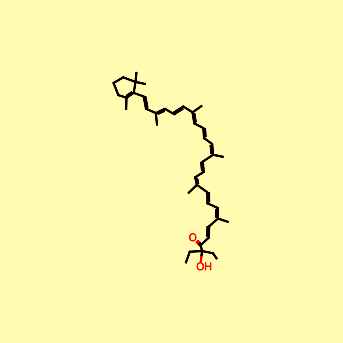 CCC(O)(CC)C(=O)C=CC(C)=CC=CC(C)=CC=CC(C)=CC=CC=C(C)C=CC=C(C)C=CC1=C(C)CCCC1(C)C